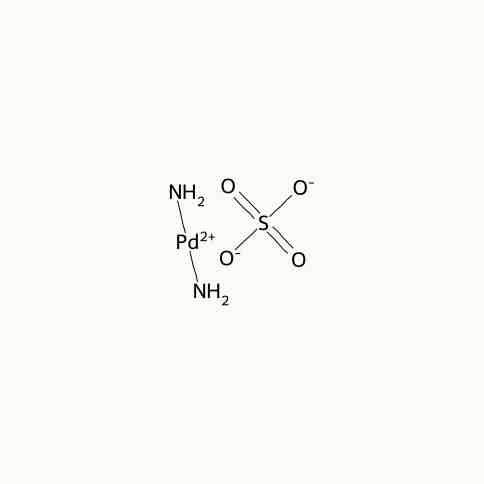 O=S(=O)([O-])[O-].[NH2][Pd+2][NH2]